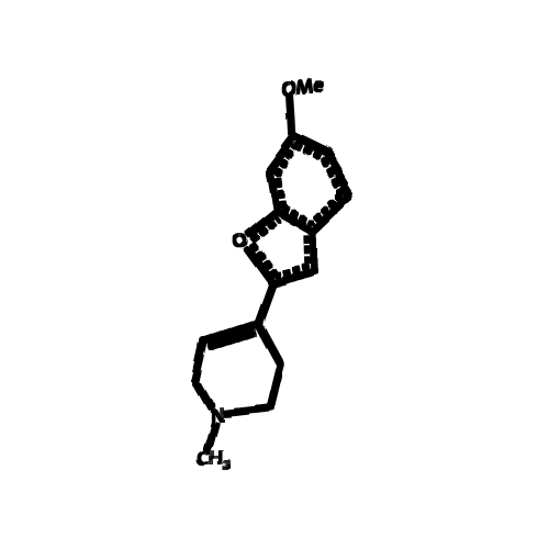 COc1ccc2cc(C3=CCN(C)CC3)oc2c1